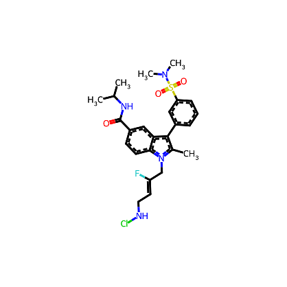 Cc1c(-c2cccc(S(=O)(=O)N(C)C)c2)c2cc(C(=O)NC(C)C)ccc2n1C/C(F)=C/CNCl